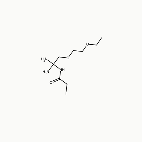 CCOCCOCC(N)(N)NC(=O)CI